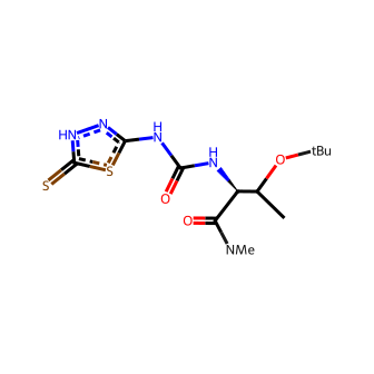 CNC(=O)[C@@H](NC(=O)Nc1n[nH]c(=S)s1)C(C)OC(C)(C)C